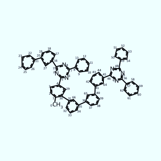 Cc1ccc(-c2nc(-c3ccccc3)nc(-c3cccc(-c4ccccc4)c3)n2)cc1-c1cccc(-c2cccc(-c3cccc(-c4nc(-c5ccccc5)nc(-c5ccccc5)n4)c3)c2)c1